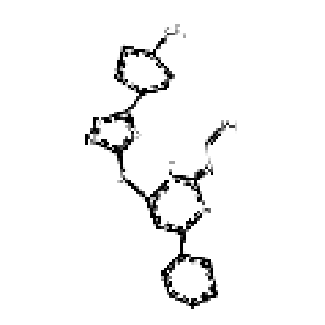 N=C/N=c1/nc(-c2ccccc2)cc(Sc2nnc(-c3ccc(C(F)(F)F)cc3)o2)[nH]1